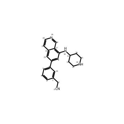 N#CCc1cccc(-c2cc(NC3CCNCC3)c3cnccc3c2)c1